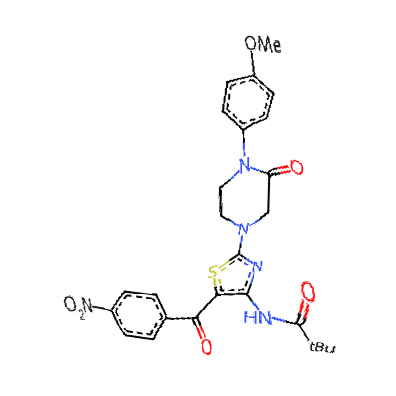 COc1ccc(N2CCN(c3nc(NC(=O)C(C)(C)C)c(C(=O)c4ccc([N+](=O)[O-])cc4)s3)CC2=O)cc1